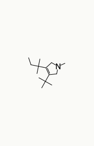 CCC(C)(C)C1=C(C(C)(C)C)CN(C)C1